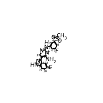 CS(=O)(=O)c1cc(F)cc(Nc2ncc(-c3n[nH]c4ccc(F)cc34)c(N)n2)c1